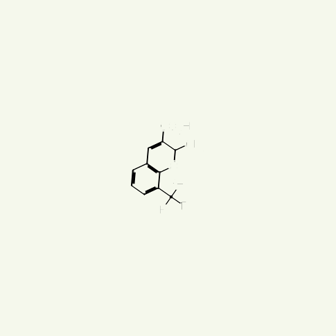 [2H]C(F)(F)c1cccc2c1OC(C(F)(F)F)C(C(=O)O)=C2